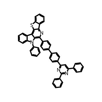 c1ccc(-c2cc(-c3ccc(-c4ccc(-c5nc6c7ccccc7sc6c6c7ccccc7n(-c7ccccc7)c56)cc4)cc3)nc(-c3ccccc3)n2)cc1